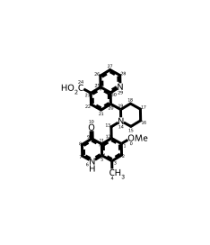 COc1cc(C)c2[nH]ccc(=O)c2c1CN1CCCCC1c1ccc(C(=O)O)c2cccnc12